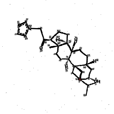 CC(C)OC[C@]12CC[C@@H](O)C[C@H]1CC[C@H]1[C@@H]3CC[C@H](C(=O)Cn4ncnn4)[C@@]3(C)CC[C@@H]12